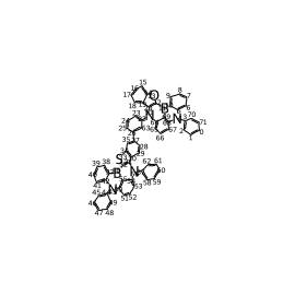 c1ccc(N2c3ccccc3B3c4oc5ccccc5c4N(c4cccc(-c5ccc6c7c(sc6c5)B5c6ccccc6N(c6ccccc6)c6cccc(c65)N7c5ccccc5)c4)c4cccc2c43)cc1